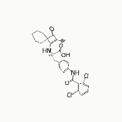 O=C(Nc1ccc(C[C@H](NC2=C(Br)C(=O)C23CCCCC3)C(=O)O)cc1)c1c(Cl)cccc1Cl